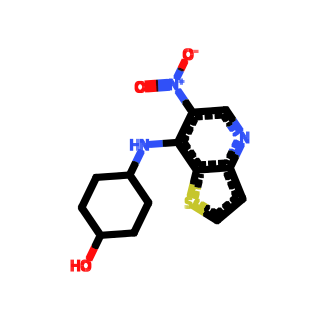 O=[N+]([O-])c1cnc2ccsc2c1NC1CCC(O)CC1